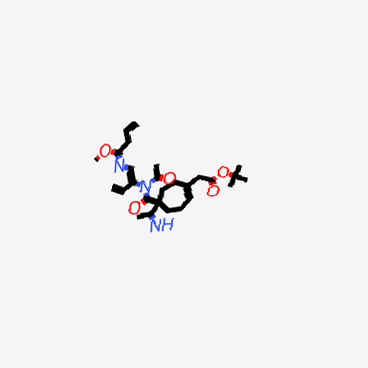 C=CC/C(=N\C=C(/C=C)N(C(C)=O)C(=O)C1(C(C)=N)CCC=C(CC(=O)OC(C)(C)C)CC1)OC